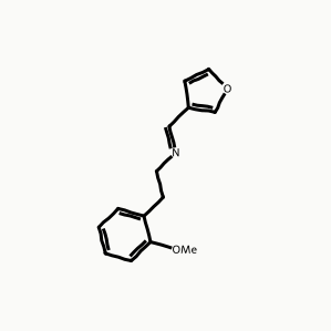 COc1ccccc1CCN=Cc1ccoc1